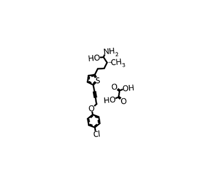 C[C@H](CCc1ccc(C#CCOc2ccc(Cl)cc2)s1)C(N)O.O=C(O)C(=O)O